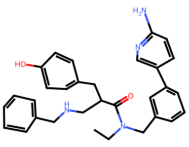 CCN(Cc1cccc(-c2ccc(N)nc2)c1)C(=O)C(CNCc1ccccc1)Cc1ccc(O)cc1